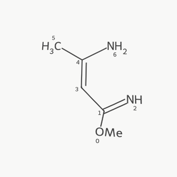 COC(=N)/C=C(/C)N